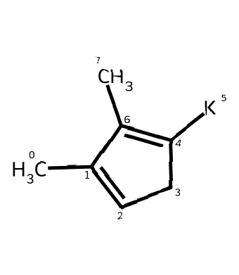 CC1=CC[C]([K])=C1C